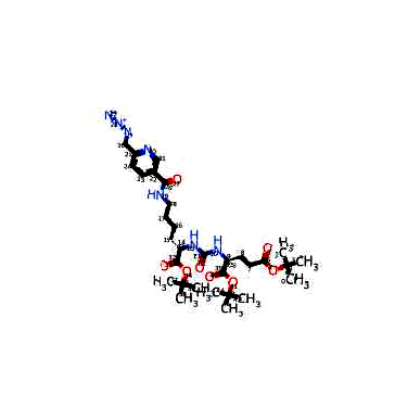 CC(C)(C)OC(=O)CC[C@H](NC(=O)N[C@@H](CCCCNC(=O)c1ccc(CN=[N+]=[N-])nc1)C(=O)OC(C)(C)C)C(=O)OC(C)(C)C